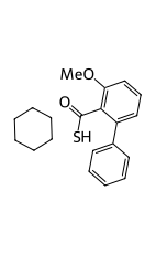 C1CCCCC1.COc1cccc(-c2ccccc2)c1C(=O)S